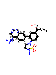 CB(O)c1ccc(N2CCNS2(=O)=O)c(-c2ccc3c(N)cnnc3c2)c1